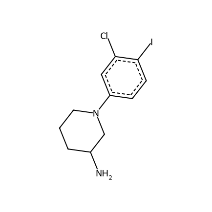 NC1CCCN(c2ccc(I)c(Cl)c2)C1